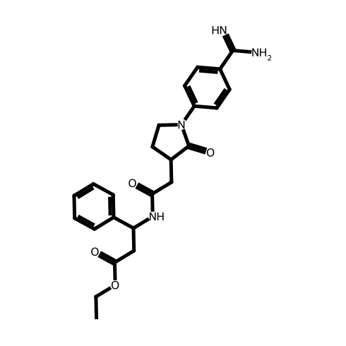 CCOC(=O)CC(NC(=O)CC1CCN(c2ccc(C(=N)N)cc2)C1=O)c1ccccc1